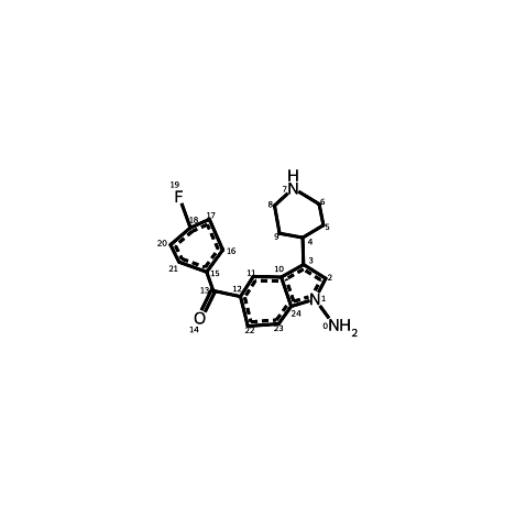 Nn1cc(C2CCNCC2)c2cc(C(=O)c3ccc(F)cc3)ccc21